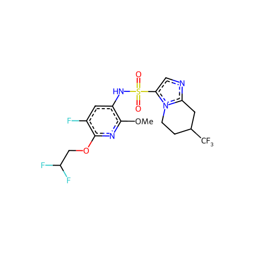 COc1nc(OCC(F)F)c(F)cc1NS(=O)(=O)c1cnc2n1CCC(C(F)(F)F)C2